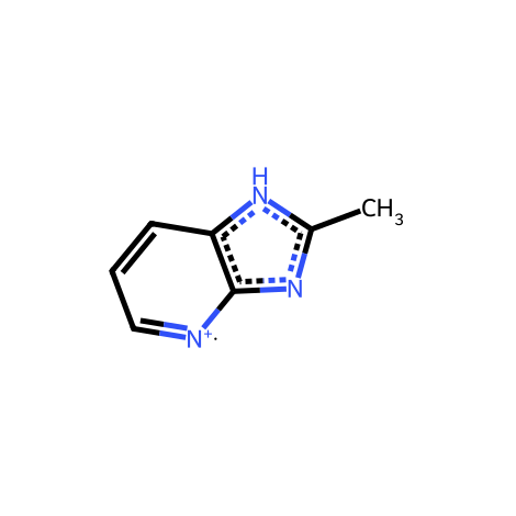 Cc1nc2c([nH]1)C=CC=[N+]2